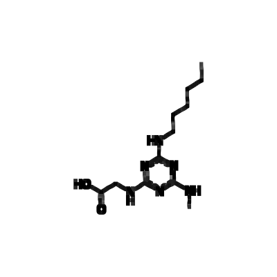 CCCCCCNc1nc(NC)nc(NCC(=O)O)n1